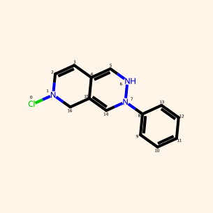 ClN1C=CC2=CNN(c3ccccc3)C=C2C1